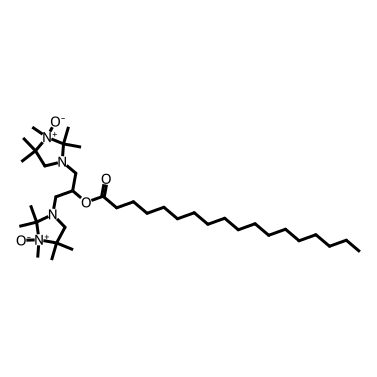 CCCCCCCCCCCCCCCCCC(=O)OC(CN1CC(C)(C)[N+](C)([O-])C1(C)C)CN1CC(C)(C)[N+](C)([O-])C1(C)C